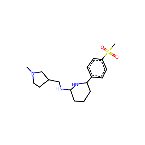 CN1CCC(CNC2CCCC(c3ccc(S(C)(=O)=O)cc3)N2)C1